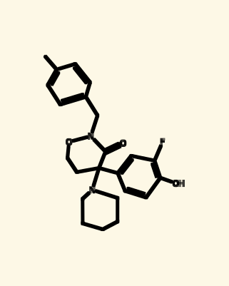 Cc1ccc(CN2OCCC(c3ccc(O)c(F)c3)(N3CCCCC3)C2=O)cc1